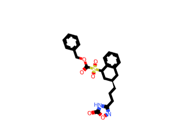 O=C(OCc1ccccc1)S(=O)(=O)C1C[C@H](CCCc2noc(=O)[nH]2)Cc2ccccc21